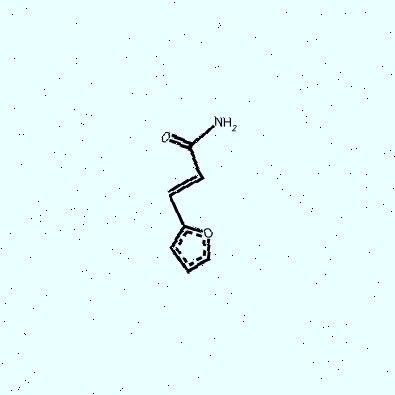 NC(=O)C=Cc1ccco1